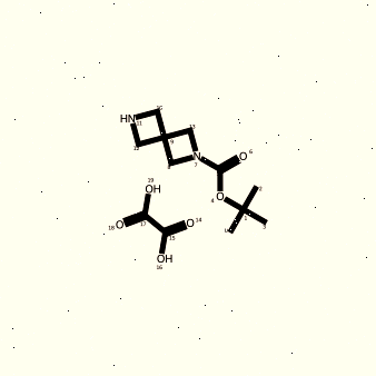 CC(C)(C)OC(=O)N1CC2(CNC2)C1.O=C(O)C(=O)O